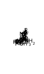 CC1=C(C(=O)O)C(c2ccc(F)c(F)c2)CC(=O)N1C(CC(N)=O)N1CCC(c2ccc(F)cc2C#N)CC1